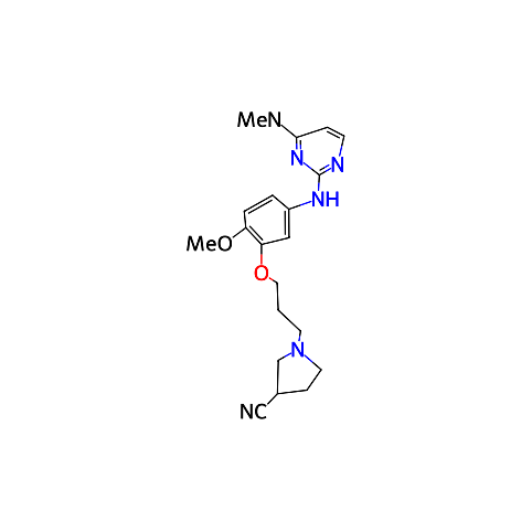 CNc1ccnc(Nc2ccc(OC)c(OCCCN3CCC(C#N)C3)c2)n1